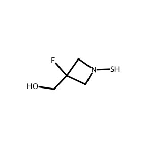 OCC1(F)CN(S)C1